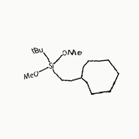 CO[Si](CC1CCCCC1)(OC)C(C)(C)C